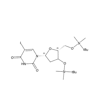 CC(C)(C)[Si](C)(C)OC[C@H]1O[C@@H](n2cc(I)c(=O)[nH]c2=O)CC1O[Si](C)(C)C(C)(C)C